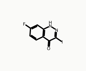 O=c1c(I)n[nH]c2cc(F)ccc12